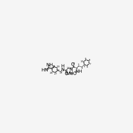 CON[C@H](CCc1ccccc1)C(=O)NCC(=O)NCc1ccc(C(=N)N)cc1